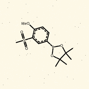 COc1ccc(B2OC(C)(C)C(C)(C)O2)cc1S(C)(=O)=O